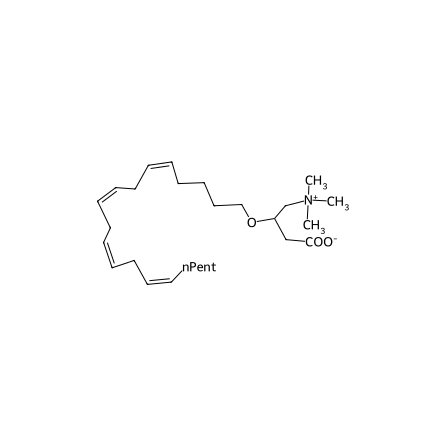 CCCCC/C=C\C/C=C\C/C=C\C/C=C\CCCCOC(CC(=O)[O-])C[N+](C)(C)C